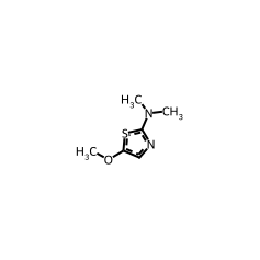 COc1cnc(N(C)C)s1